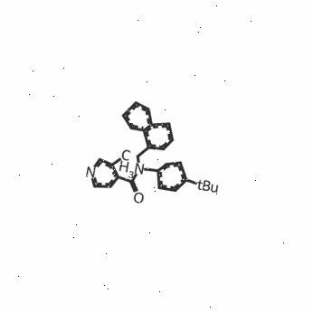 Cc1cnccc1C(=O)N(Cc1cccc2ccccc12)c1ccc(C(C)(C)C)cc1